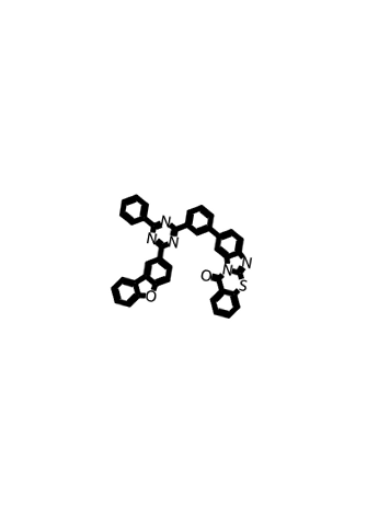 O=c1c2ccccc2sc2nc3ccc(-c4cccc(-c5nc(-c6ccccc6)nc(-c6ccc7oc8ccccc8c7c6)n5)c4)cc3n12